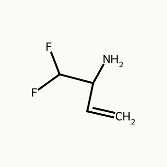 C=CC(N)C(F)F